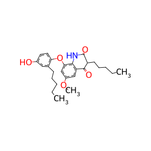 CCCCCc1cc(O)ccc1Oc1cc(OC)cc2c1NC(=O)C(CCCCC)C2=O